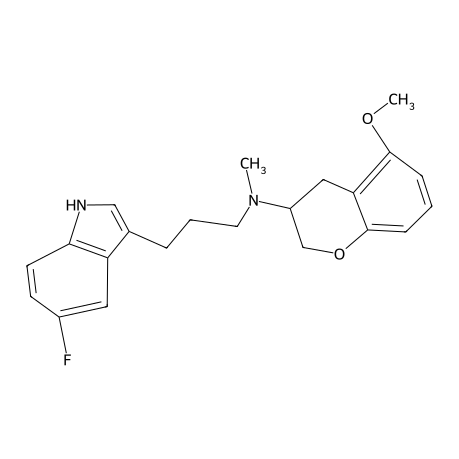 COc1cccc2c1CC(N(C)CCCc1c[nH]c3ccc(F)cc13)CO2